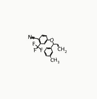 C=CC(Oc1ccc(C#N)c(C(F)(F)F)c1)c1cccc(C)c1